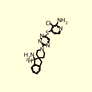 [2H][C@]1(N)c2ccccc2CC12CCN(c1ncc(Sc3ccnc(N)c3Cl)nn1)CC2